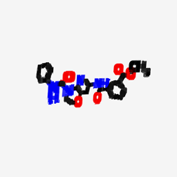 COC(=O)c1cccc(C(=O)Nc2cnc3c(c2)OCCN3C(=O)Nc2ccccc2)c1